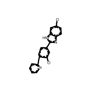 Clc1ccc2nc(-c3ccc(-c4ccccn4)c(Cl)c3)[nH]c2c1